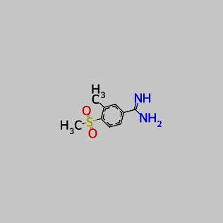 Cc1cc(C(=N)N)ccc1S(C)(=O)=O